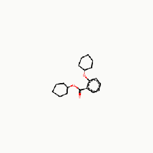 O=C(OC1CCCCC1)c1ccccc1OC1CCCCC1